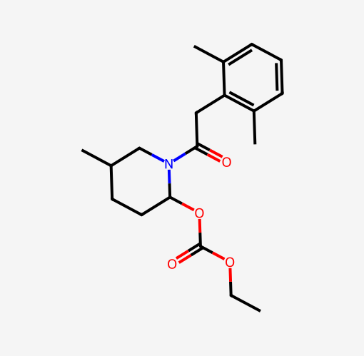 CCOC(=O)OC1CCC(C)CN1C(=O)Cc1c(C)cccc1C